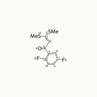 CSC(=CC(=O)c1cc(F)ccc1F)SC